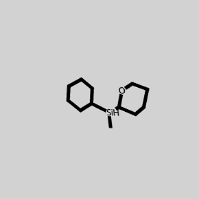 C[SiH](C1CCCCC1)C1CCCCO1